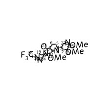 COc1cc(-c2ccc3c(n2)C(OC)N(c2cnn(CC(F)(F)F)c2)C3=O)cnc1OC